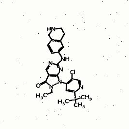 CCn1c(=O)c2cnc(Nc3ccc4c(c3)CCNC4)nc2n1-c1cc(C(C)(C)C)ncc1Cl